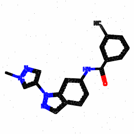 Cn1cc(-n2ncc3ccc(NC(=O)c4cccc(C#N)c4)cc32)cn1